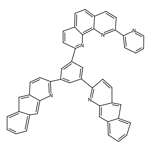 c1ccc(-c2ccc3ccc4ccc(-c5cc(-c6ccc7cc8ccccc8cc7n6)cc(-c6ccc7cc8ccccc8cc7n6)c5)nc4c3n2)nc1